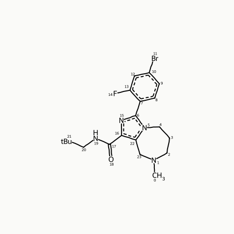 CN1CCCn2c(-c3ccc(Br)cc3F)nc(C(=O)NCC(C)(C)C)c2C1